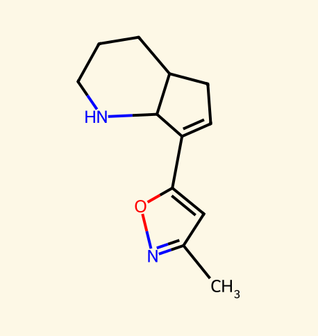 Cc1cc(C2=CCC3CCCNC23)on1